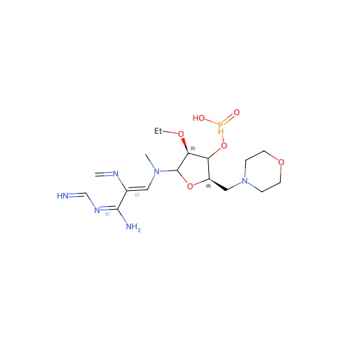 C=NC(=C\N(C)C1O[C@H](CN2CCOCC2)C(O[PH](=O)O)[C@@H]1OCC)/C(N)=N\C=N